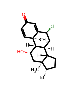 CC[C@H]1CC[C@H]2[C@@H]3C[C@H](Cl)C4=CC(=O)C=C[C@]4(C)[C@H]3[C@@H](O)C[C@]12C